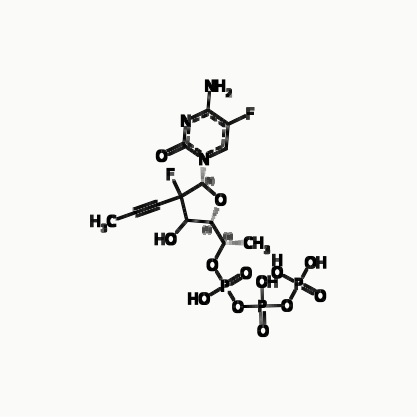 CC#CC1(F)C(O)[C@@H]([C@H](C)OP(=O)(O)OP(=O)(O)OP(=O)(O)O)O[C@H]1n1cc(F)c(N)nc1=O